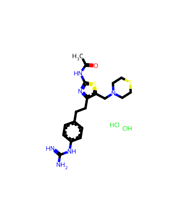 CC(=O)Nc1nc(CCc2ccc(NC(=N)N)cc2)c(CN2CCSCC2)s1.Cl.Cl